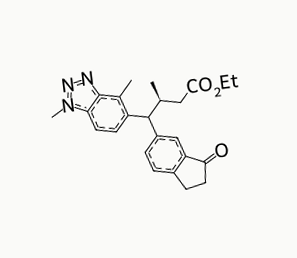 CCOC(=O)C[C@H](C)C(c1ccc2c(c1)C(=O)CC2)c1ccc2c(nnn2C)c1C